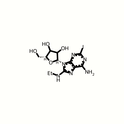 CCNc1nc2c(N)nc(I)nc2n1[C@@H]1O[C@H](CO)C(O)C1O